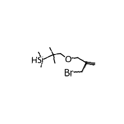 C=C(CBr)COCC(C)(C)[SiH](C)C